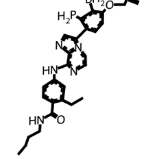 Bc1c(OCC=C)ccc(-c2cnc3c(Nc4ccc(C(=O)NCCCC)c(CC)c4)nccn23)c1P